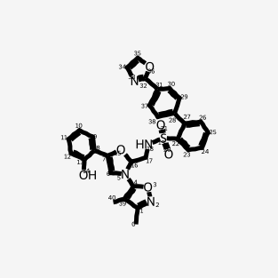 Cc1noc(N2C=C(c3ccccc3O)OC2CNS(=O)(=O)c2ccccc2-c2ccc(-c3ncco3)cc2)c1C